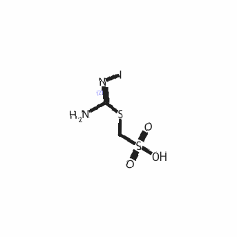 N/C(=N/I)SCS(=O)(=O)O